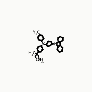 CCC(C)(CC)c1ccc(N(c2ccc(C)cc2)c2ccc(-n3c4ccccc4c4ccccc43)cc2)cc1